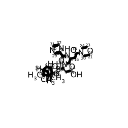 CC1(C)[C@@H]2C[C@H]3OB([C@H](CCO)NC(=O)C(CC(=O)N4CCOCC4)NC(=O)c4cnccn4)O[C@@]3(C)[C@H]1C2